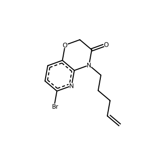 C=CCCCN1C(=O)COc2ccc(Br)nc21